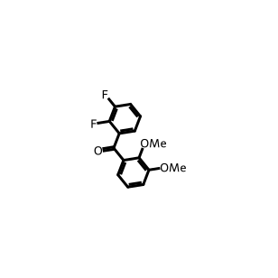 COc1cccc(C(=O)c2cccc(F)c2F)c1OC